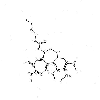 CCCCOC(=O)NC1CCc2cc(OC)c(OC)c(OC)c2-c2ccc(SC)c(=O)cc21